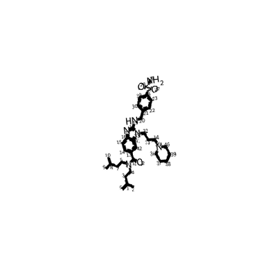 CC(C)CCN(CCC(C)C)C(=O)c1ccc2nc(NCc3ccc(S(N)(=O)=O)cc3)n(CCCN3CCCCC3)c2c1